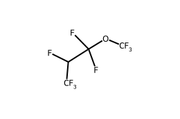 FC(C(F)(F)F)C(F)(F)OC(F)(F)F